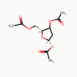 CC(=O)OC[C@H]1O[C@@H](OC(C)=O)CC1OC(C)=O